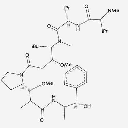 CCC(C)C(C(CC(=O)N1CCC[C@H]1C(OC)C(C)C(=O)NC(C)[C@@H](O)c1ccccc1)OC)N(C)C(=O)[C@@H](NC(=O)C(NC)C(C)C)C(C)C